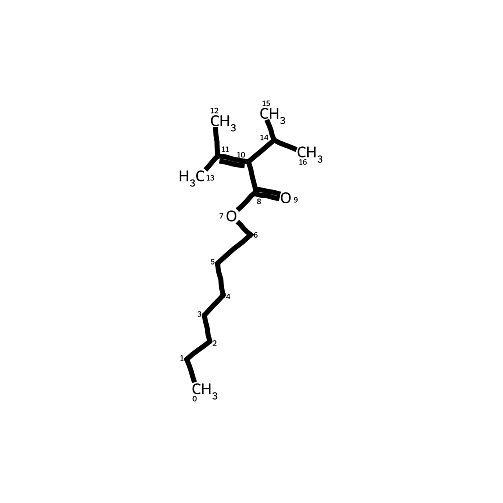 CCCCCCCOC(=O)C(=C(C)C)C(C)C